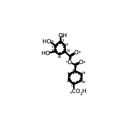 O=C(O)c1ccc(C(=O)OC(=O)c2cc(O)c(O)c(O)c2)cc1